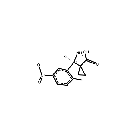 C[C@@](N)(c1cc([N+](=O)[O-])ccc1F)C1(C(=O)O)CC1